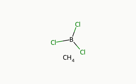 C.ClB(Cl)Cl